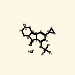 Cl.O=C1C2C(OC(F)(F)F)=CC(C3CC3)=CC2=C2CNCCN12